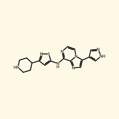 c1cn2c(-c3cn[nH]c3)cnc2c(Nc2cc(C3CCNCC3)ns2)n1